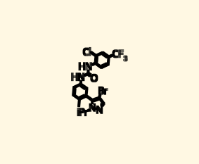 Cc1ccc(NC(=O)Nc2ccc(C(F)(F)F)cc2Cl)cc1-c1c(Br)cnn1C(C)C